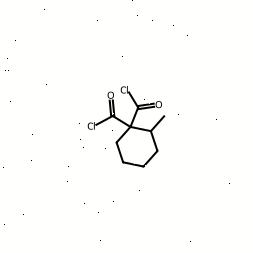 CC1CCCCC1(C(=O)Cl)C(=O)Cl